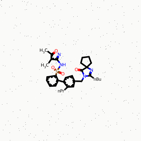 CCCCC1=NC2(CCCC2)C(=O)N1Cc1ccc(-c2ccccc2S(=O)(=O)Nc2noc(C)c2C)c(CCC)c1